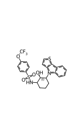 O=S(=O)(NC1CCCC(n2c3ccccc3c3sccc32)[C@@H]1O)c1ccc(OC(F)(F)F)cc1